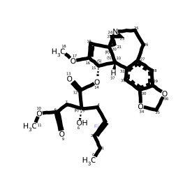 CC/C=C/C[C@@](O)(CC(=O)OC)C(=O)O[C@@H]1C(OC)=C[C@]23CCCN2CCc2cc4c(cc2[C@H]13)OCO4